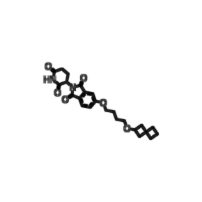 O=C1CCC(N2C(=O)c3ccc(OCCCCOC4CC5(CCC5)C4)cc3C2=O)C(=O)N1